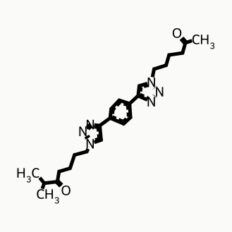 CC(=O)CCCCn1cc(-c2ccc(-c3cn(CCCCC(=O)C(C)C)nn3)cc2)nn1